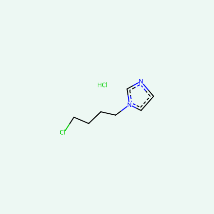 Cl.ClCCCCn1ccnc1